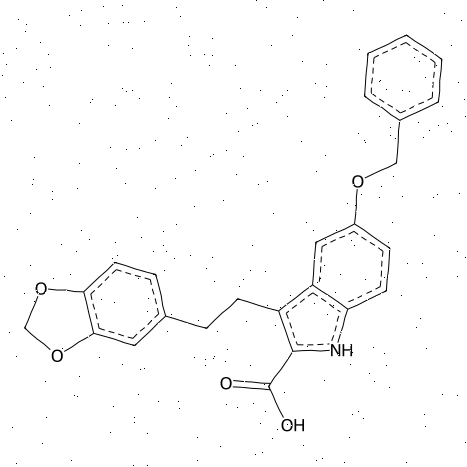 O=C(O)c1[nH]c2ccc(OCc3ccccc3)cc2c1CCc1ccc2c(c1)OCO2